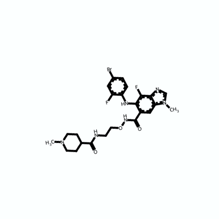 CN1CCC(C(=O)NCCONC(=O)c2cc3c(ncn3C)c(F)c2Nc2ccc(Br)cc2F)CC1